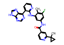 Cc1c(F)cc(NC(=O)c2ccnc(C3(C#N)CC3)c2)cc1Nc1ncccc1-c1ncnc2[nH]cnc12